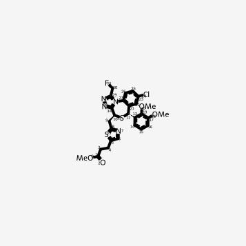 COC(=O)CCc1cnc(C[C@@H]2S[C@@H](c3cccc(OC)c3OC)c3cc(Cl)ccc3-n3c(CF)nnc32)s1